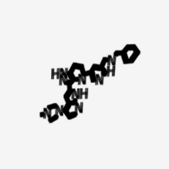 CN1CCN(c2ccnc3[nH]c(-c4n[nH]c5ccc(-c6cncc(CNCc7ccccc7)c6)nc45)cc23)CC1